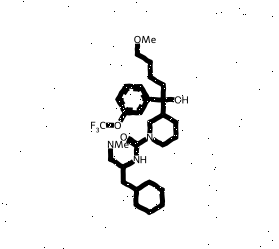 CNCC(CC1CCCCC1)NC(=O)N1CCCC(C(O)(CCCCOC)c2cccc(OC(F)(F)F)c2)C1